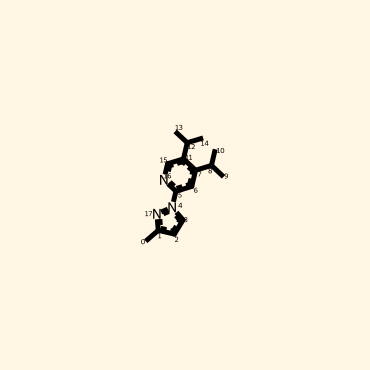 Cc1ccn(-c2cc(C(C)C)c(C(C)C)cn2)n1